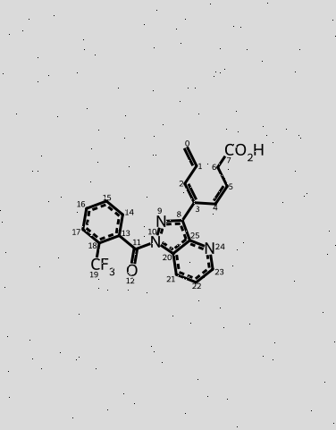 C=C/C=C(\C=C/CC(=O)O)c1nn(C(=O)c2ccccc2C(F)(F)F)c2cccnc12